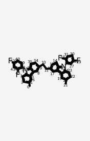 Cc1ccc2c(c1)c1cc(CCc3ccc4c(c3)c3cc(C)ccc3n4-c3cc(F)ccc3F)ccc1n2-c1ccc(F)cc1F